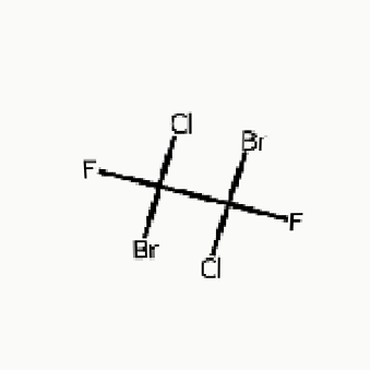 FC(Cl)(Br)C(F)(Cl)Br